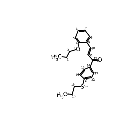 CCCOc1ccccc1C=CC(=O)c1ccc(SCCC)cc1